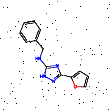 c1ccc(CNc2nc(-c3ccco3)n[nH]2)cc1